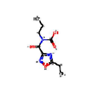 CCCN(C(=O)O)C(=O)c1noc(CC)n1